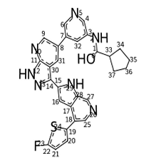 OC(Nc1cncc(-c2cnc3[nH]nc(-c4cc5c(-c6ccc(F)s6)cncc5[nH]4)c3c2)c1)C1CCCC1